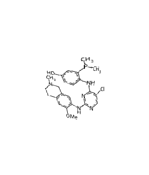 COc1cc2c(cc1Nc1ncc(Cl)c(Nc3ccc(O)cc3P(C)C)n1)CN(C)CC2